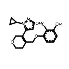 O=Cc1c(O)cccc1OCC1=C(c2ccnn2C2CC2)COCC1